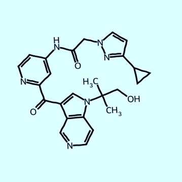 CC(C)(CO)n1cc(C(=O)c2cc(NC(=O)Cn3ccc(C4CC4)n3)ccn2)c2cnccc21